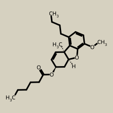 CCCCCC(=O)O[C@H]1C=C[C@@]2(C)c3c(CCCC)ccc(OC)c3O[C@H]2C1